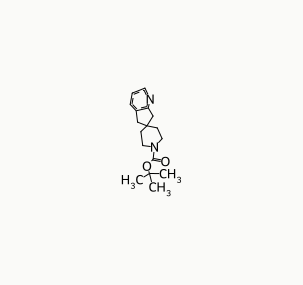 CC(C)(C)OC(=O)N1CCC2(CC1)Cc1cccnc1C2